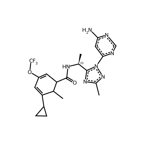 Cc1nc([C@H](C)NC(=O)C2C=C(OC(F)(F)F)C=C(C3CC3)C2C)n(-c2cc(N)ncn2)n1